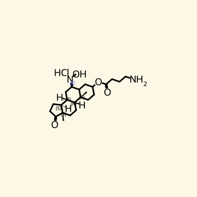 C[C@]12CCC(OC(=O)CCCN)CC1/C(=N\O)C[C@@H]1[C@H]2CC[C@]2(C)C(=O)CC[C@@H]12.Cl